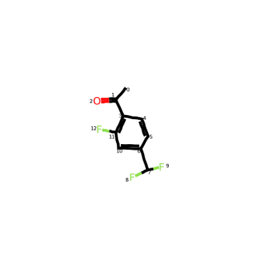 CC(=O)c1ccc(C(F)F)cc1F